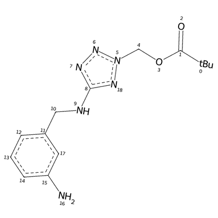 CC(C)(C)C(=O)OCn1nnc(NCc2cccc(N)c2)n1